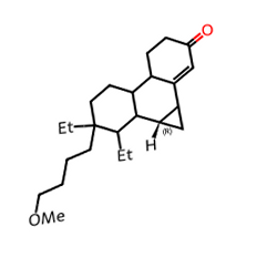 CCC1C2C(CCC1(CC)CCCCOC)C1CCC(=O)C=C1C1C[C@@H]12